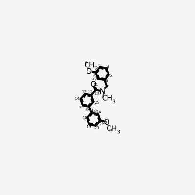 COc1cccc(CN(C)C(=O)c2cccc(-c3cccc(OC)c3)c2)c1